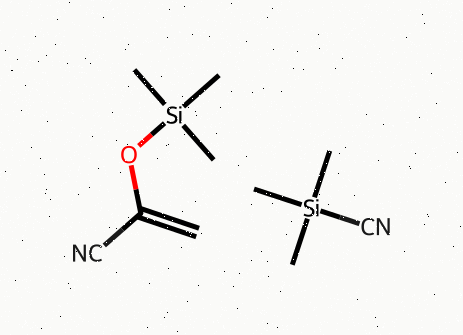 C=C(C#N)O[Si](C)(C)C.C[Si](C)(C)C#N